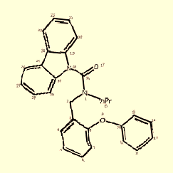 CCCN(Cc1ccccc1Oc1ccccc1)C(=O)n1c2ccccc2c2ccccc21